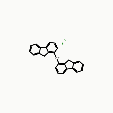 [Br-].[Br-].c1ccc2c(c1)Cc1[c]([Zr+2][c]3cccc4c3Cc3ccccc3-4)cccc1-2